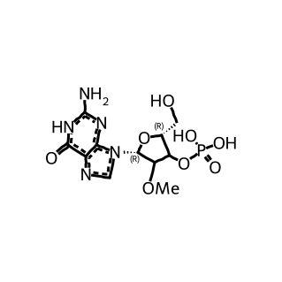 COC1C(OP(=O)(O)O)[C@@H](CO)O[C@H]1n1cnc2c(=O)[nH]c(N)nc21